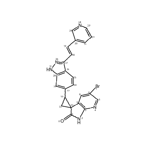 O=C1Nc2ncc(Br)cc2C12CC2c1ccc2c(/C=C/c3cccnc3)n[nH]c2c1